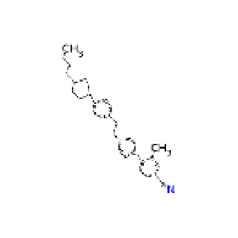 CCCCC1CCC(c2ccc(CCc3ccc(-c4ccc(C#N)cc4C)cc3)cc2)CC1